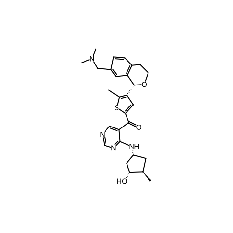 Cc1sc(C(=O)c2cncnc2N[C@@H]2C[C@@H](C)[C@H](O)C2)cc1[C@H]1OCCc2ccc(CN(C)C)cc21